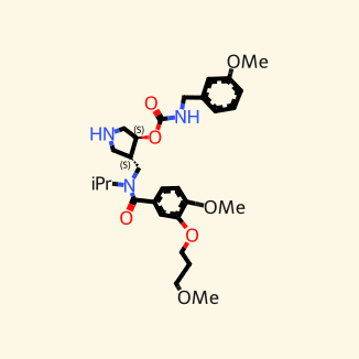 COCCCOc1cc(C(=O)N(C[C@@H]2CNC[C@H]2OC(=O)NCc2cccc(OC)c2)C(C)C)ccc1OC